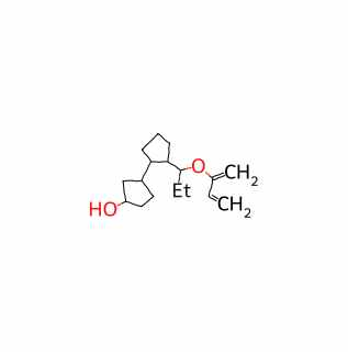 C=CC(=C)OC(CC)C1CCCC1C1CCC(O)C1